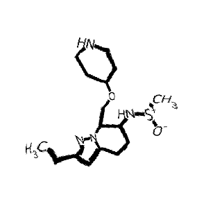 CCc1cc2n(n1)C(COC1CCNCC1)C(N[S+](C)[O-])CC2